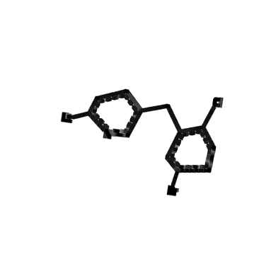 CCc1ccc(Cc2cc(Br)ccc2Cl)cn1